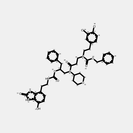 O=C(NCCc1ccc(O)c2[nH]c(=O)sc12)OC(Cc1ccccc1)CN(C(=O)CCN(CCc1ccc(Cl)c(Cl)c1)C(=O)OCc1ccccc1)C1CCOCC1